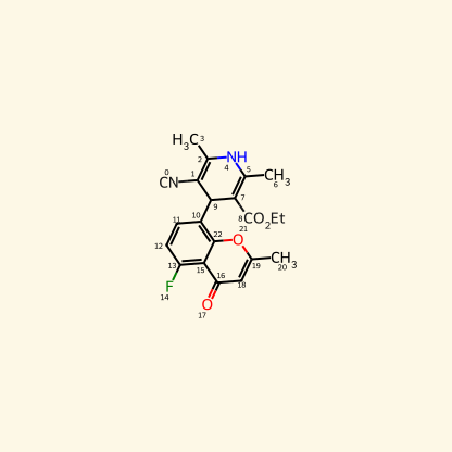 [C-]#[N+]C1=C(C)NC(C)=C(C(=O)OCC)C1c1ccc(F)c2c(=O)cc(C)oc12